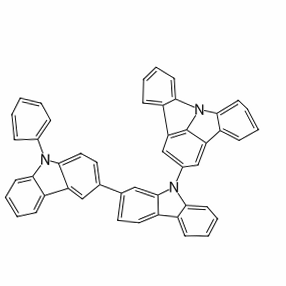 c1ccc(-n2c3ccccc3c3cc(-c4ccc5c6ccccc6n(-c6cc7c8ccccc8n8c9ccccc9c(c6)c78)c5c4)ccc32)cc1